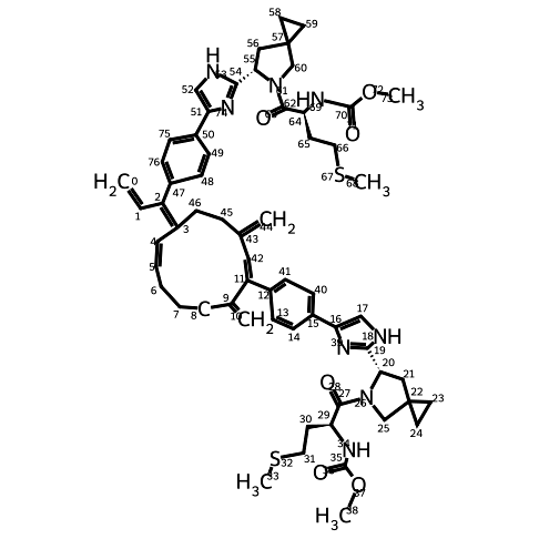 C=C/C(=C1\C=C/CCCC(=C)/C(c2ccc(-c3c[nH]c([C@@H]4CC5(CC5)CN4C(=O)[C@H](CCSC)NC(=O)OC)n3)cc2)=C\C(=C)CC1)c1ccc(-c2c[nH]c([C@@H]3CC4(CC4)CN3C(=O)[C@H](CCSC)NC(=O)OC)n2)cc1